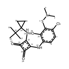 CN(C)Sc1c(Cl)ccc(Nc2c(NC3(C(C)(C)C)CC3)c(=O)c2=O)c1O